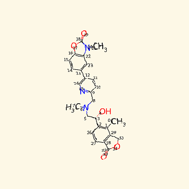 Cc1c([C@@H](O)CN(C)Cc2ccc(-c3ccc4oc(=O)n(C)c4c3)cn2)ccc2c1COC2=O